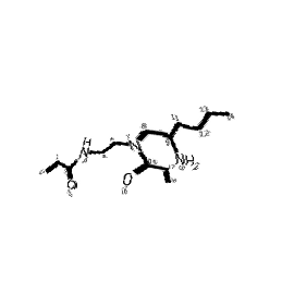 C=CC(=O)NCCN(CC(N)CCCC)C(=O)C=C